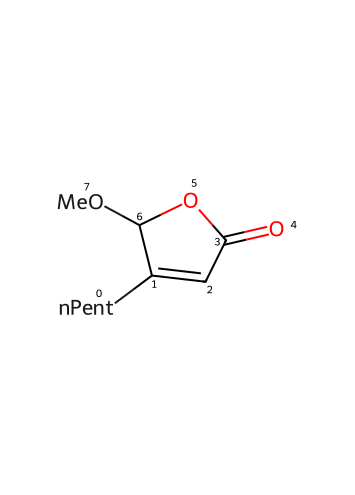 CCCCCC1=CC(=O)OC1OC